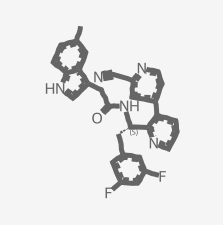 Cc1ccc2[nH]cc(CC(=O)N[C@@H](Cc3cc(F)cc(F)c3)c3ncccc3-c3ccnc(C#N)c3)c2c1